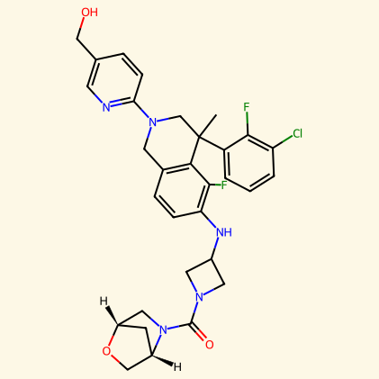 CC1(c2cccc(Cl)c2F)CN(c2ccc(CO)cn2)Cc2ccc(NC3CN(C(=O)N4C[C@@H]5C[C@H]4CO5)C3)c(F)c21